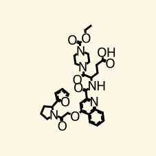 CCOC(=O)N1CCN(C(=O)C(CCC(=O)O)NC(=O)c2cc(OCC(=O)N3CCCC3c3ccco3)c3ccccc3n2)CC1